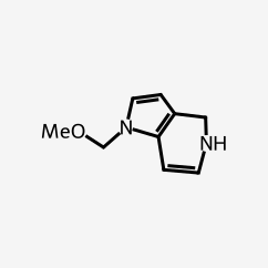 COCn1ccc2c1C=CNC2